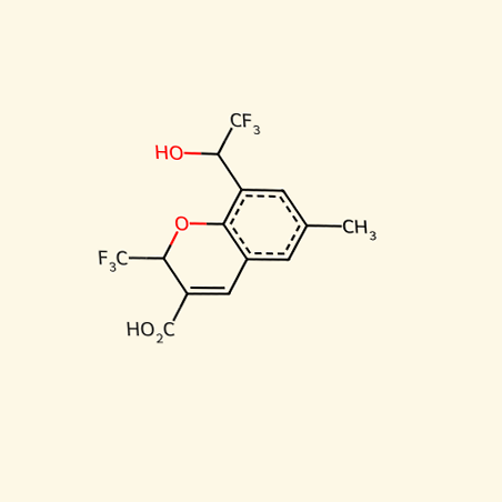 Cc1cc2c(c(C(O)C(F)(F)F)c1)OC(C(F)(F)F)C(C(=O)O)=C2